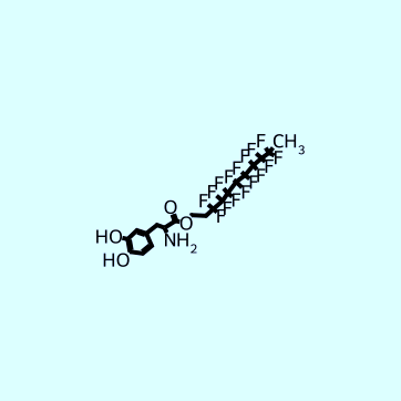 CC(F)(F)C(F)(F)C(F)(F)C(F)(F)C(F)(F)C(F)(F)C(F)(F)C(F)(F)CCOC(=O)C(N)Cc1ccc(O)c(O)c1